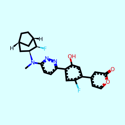 CN(c1ccc(-c2cc(F)c(-c3ccoc(=O)c3)cc2O)nn1)[C@H]1C[C@@H]2CC[C@@H](C2)[C@H]1F